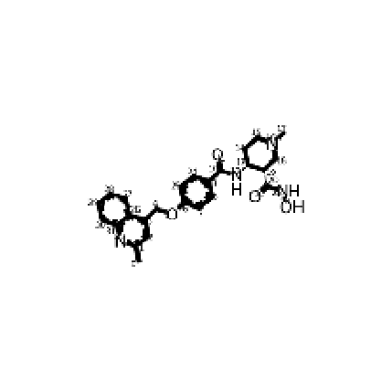 Cc1cc(COc2ccc(C(=O)N[C@@H]3CCN(C)C[C@@H]3C(=O)NO)cc2)c2ccccc2n1